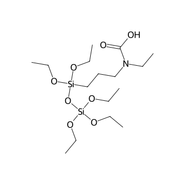 CCO[Si](CCCN(CC)C(=O)O)(OCC)O[Si](OCC)(OCC)OCC